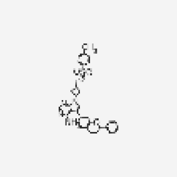 Cc1ccc(S(=O)(=O)OCC2CC(n3cc(-c4ccc5c(c4)OC(c4ccccc4)CC5)c4c(N)ncnc43)C2)cc1